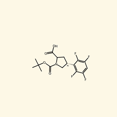 CC(C)(C)OC(=O)N1C[C@@H](c2c(F)c(F)cc(F)c2F)CC1C(=O)O